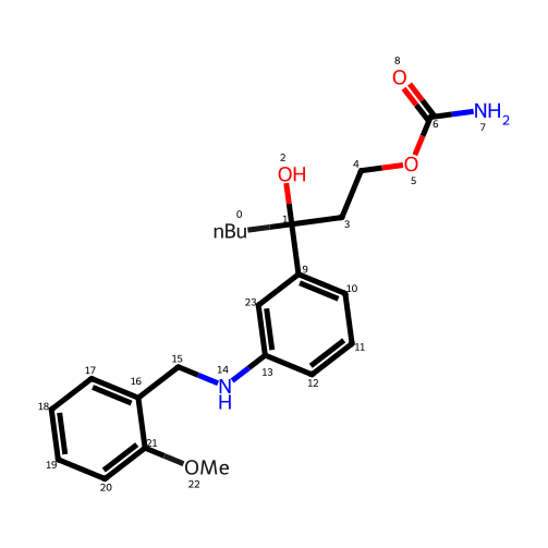 CCCCC(O)(CCOC(N)=O)c1cccc(NCc2ccccc2OC)c1